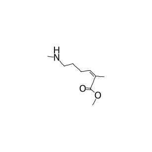 CNCCCC=C(C)C(=O)OC